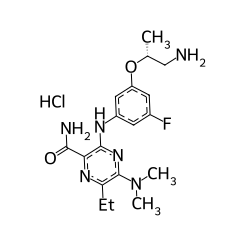 CCc1nc(C(N)=O)c(Nc2cc(F)cc(O[C@H](C)CN)c2)nc1N(C)C.Cl